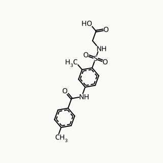 Cc1ccc(C(=O)Nc2ccc(S(=O)(=O)NCC(=O)O)c(C)c2)cc1